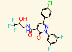 O=C(NCC(O)C(F)(F)F)c1cc(-c2ccc(Cl)cc2)nn(-c2cc(F)cc(F)c2)c1=O